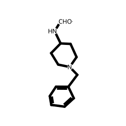 O=[C]NC1CCN(Cc2ccccc2)CC1